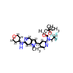 Cn1c(-c2ccnc(N(CC(F)(F)F)C(=O)OC(C)(C)C)c2)cc2cnc(NC3CCOCC3)cc21